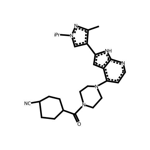 Cc1nn(C(C)C)cc1-c1cc2c(N3CCN(C(=O)C4CCC(C#N)CC4)CC3)ccnc2[nH]1